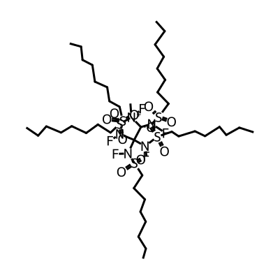 CCCCCCCCS(=O)(=O)N(F)[C](C(N(F)S(=O)(=O)CCCCCCCC)(N(F)S(=O)(=O)CCCCCCCC)N(F)S(=O)(=O)CCCCCCCC)[N+](C)(F)S(=O)(=O)CCCCCCCC